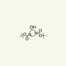 CC(C)(C)OC(=O)N1CCN(C(=O)OC(C)(C)C)CC(O)C1